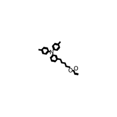 C=CC(=O)OCCCCCc1cccc(N(c2ccc(C)cc2)c2ccc(C)cc2)c1